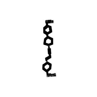 CCCCC[C@H]1CC[C@H](/C=C/C#C[C@H]2CC[C@H](c3ccc(OC)cc3)CC2)CC1